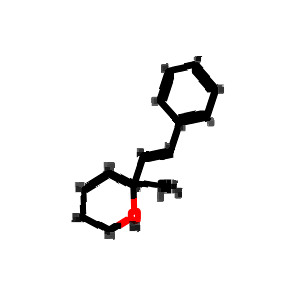 [SiH3]C1(C=Cc2ccccc2)CCCCO1